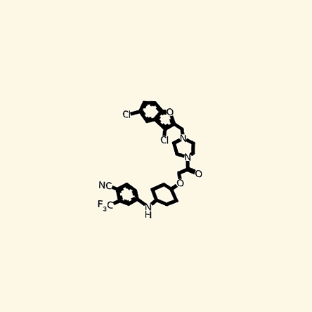 N#Cc1ccc(NC2CCC(OCC(=O)N3CCN(Cc4oc5ccc(Cl)cc5c4Cl)CC3)CC2)cc1C(F)(F)F